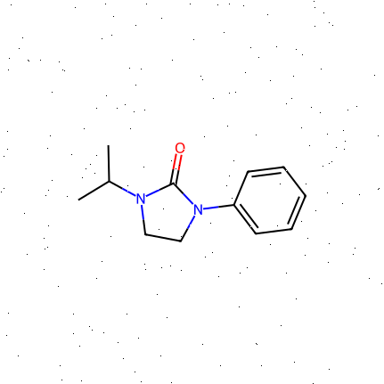 CC(C)N1CCN(c2ccccc2)C1=O